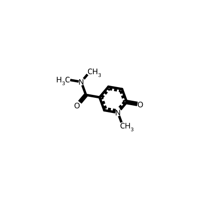 CN(C)C(=O)c1ccc(=O)n(C)c1